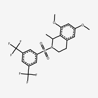 COc1cc2c(c(OC)c1)C(C)N(S(=O)(=O)c1cc(C(F)(F)F)cc(C(F)(F)F)c1)CC2